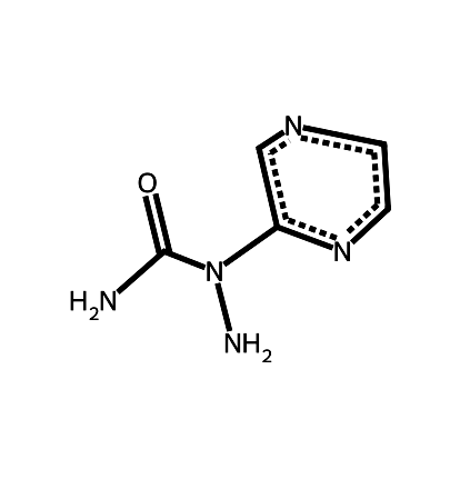 NC(=O)N(N)c1cnccn1